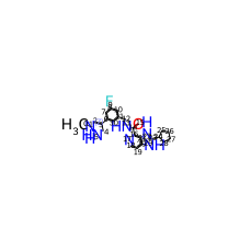 CN/C=C(\C=N)c1cc(F)cc(CNC(=O)c2nccc3c2NC(C2CCCC2)N3)c1